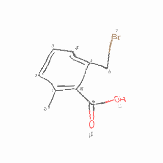 Cc1cccc(CBr)c1C(=O)O